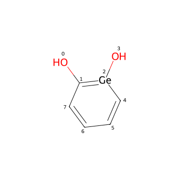 O[C]1=[Ge]([OH])[CH]=CC=C1